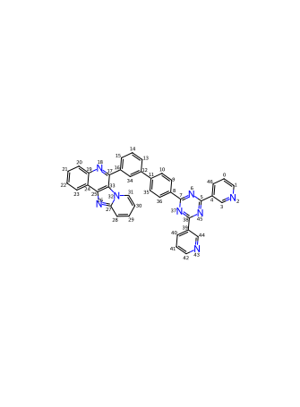 c1cncc(-c2nc(-c3ccc(-c4cccc(-c5nc6ccccc6c6nc7ccccn7c56)c4)cc3)nc(-c3cccnc3)n2)c1